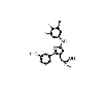 CC[C@@H](O)Cc1cc(Nc2cc(F)c(F)c(F)c2)nn1-c1ccnc(C)c1